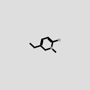 CCC1=CC=C(Cl)N(C)C1